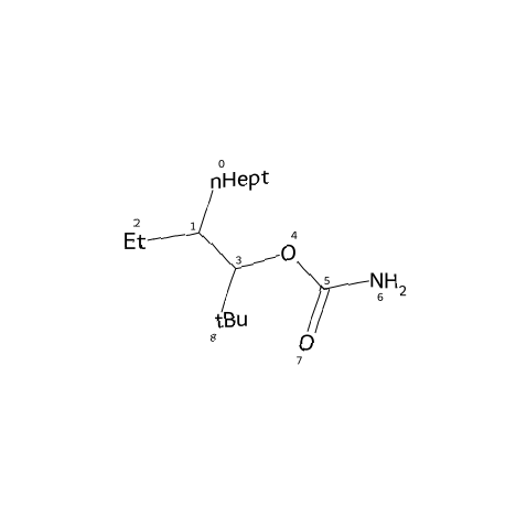 CCCCCCCC(CC)C(OC(N)=O)C(C)(C)C